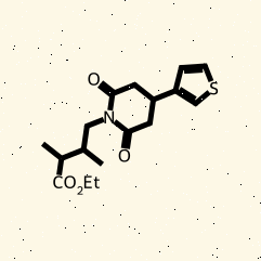 CCOC(=O)C(C)C(C)CN1C(=O)CC(c2ccsc2)CC1=O